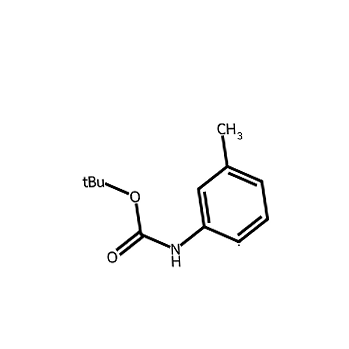 Cc1cc[c]c(NC(=O)OC(C)(C)C)c1